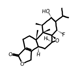 CC(C)C1[C@@H](O)[C@H](C)[C@]2(C)[C@]3(O[C@H]3C[C@H]3C4=C(CC[C@@]32C)C(=O)OC4)[C@H]1F